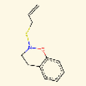 C=CCSN1CCc2ccccc2O1